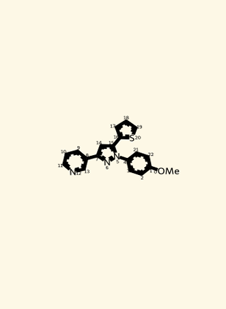 COc1ccc(-n2nc(-c3cccnc3)cc2-c2cccs2)cc1